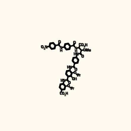 COC(C(=O)Nc1ccc(C(=O)Nc2ccc(C(=O)Nc3ccc(C(=O)O)cc3OC(C)C)c(O)c2OC(C)C)cc1)C(NC(=O)c1ccc(NC(=O)c2ccc([N+](=O)[O-])cc2)cc1)C(=O)O